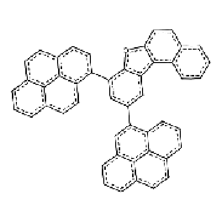 c1ccc2c(c1)ccc1oc3c(-c4ccc5ccc6cccc7ccc4c5c67)cc(-c4cc5cccc6ccc7cccc4c7c65)cc3c12